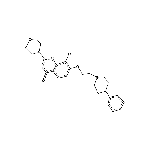 CCc1c(OCCN2CCC(c3ccccc3)CC2)ccc2c(=O)cc(N3CCOCC3)oc12